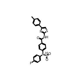 Cc1ccc(-c2csc(NC(=O)c3ccc(N(c4ccc(F)cc4)[SH](=O)=O)cc3)n2)cc1